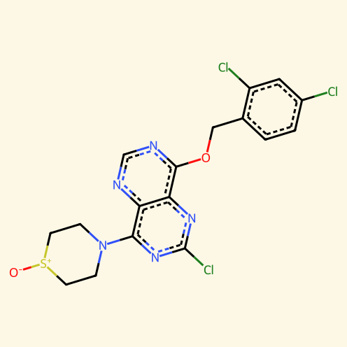 [O-][S+]1CCN(c2nc(Cl)nc3c(OCc4ccc(Cl)cc4Cl)ncnc23)CC1